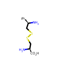 CC(C)[C@@H](N)CSSC[C@H](N)C(=O)O